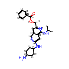 CC(C)Nc1nc([C@@H](C)OC(=O)c2ccccc2)cc2cnc(NC3CCC(N)CC3)cc12